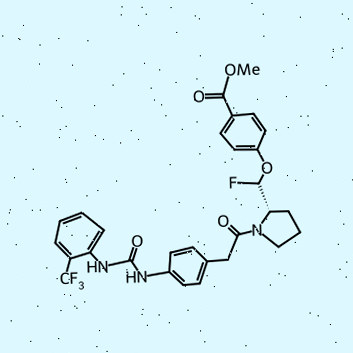 COC(=O)c1ccc(OC(F)[C@@H]2CCCN2C(=O)Cc2ccc(NC(=O)Nc3ccccc3C(F)(F)F)cc2)cc1